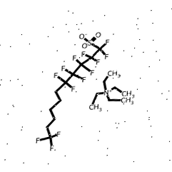 CC[N+](CC)(CC)CC.O=S(=O)([O-])C(F)(F)C(F)(F)C(F)(F)C(F)(F)C(F)(F)CCCCCC(F)(F)F